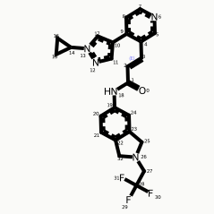 O=C(/C=C/c1cnccc1-c1cnn(C2CC2)c1)Nc1ccc2c(c1)CN(CC(F)(F)F)C2